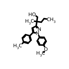 CCCC(C)(CO)c1cc(-c2ccc(C)cc2)n(-c2ccc(OC)cc2)n1